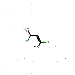 C/C(Cl)=C\C(C)Cl